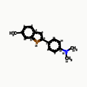 Cc1ccc2cc(-c3ccc(N(C)C)cc3)sc2c1